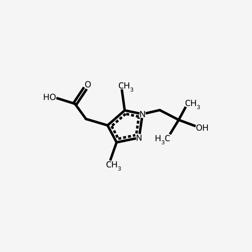 Cc1nn(CC(C)(C)O)c(C)c1CC(=O)O